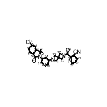 CC1(C)c2cc(Cl)ccc2C(=O)N1c1cncc(N2CC3(CN(C(=O)c4ncccc4C#N)C3)C2)c1